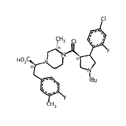 Cc1cc(C[C@@H](C(=O)O)N2CCN(C(=O)[C@@H]3CN(C(C)(C)C)CC3c3ccc(Cl)cc3F)[C@@H](C)C2)ccc1F